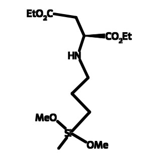 CCOC(=O)C[C@H](NCCC[Si](C)(OC)OC)C(=O)OCC